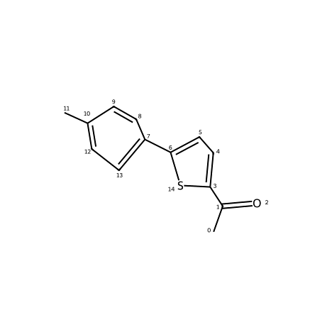 CC(=O)c1ccc(-c2ccc(C)cc2)s1